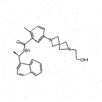 Cc1ccc(N2CC3(CN(CCO)C3)C2)cc1C(=O)N[C@H](C)c1cccc2ccccc12